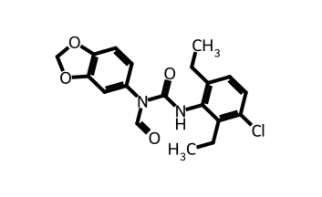 CCc1ccc(Cl)c(CC)c1NC(=O)N(C=O)c1ccc2c(c1)OCO2